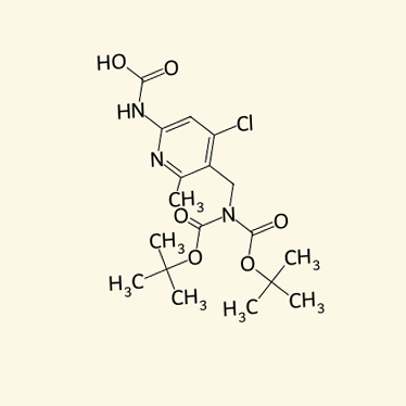 Cc1nc(NC(=O)O)cc(Cl)c1CN(C(=O)OC(C)(C)C)C(=O)OC(C)(C)C